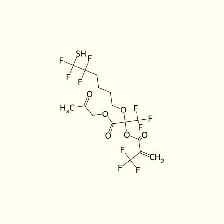 C=C(C(=O)OC(OCCCCC(F)(F)C(F)(F)S)(C(=O)OCC(C)=O)C(F)(F)F)C(F)(F)F